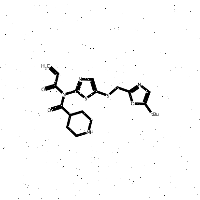 C=CC(=O)N(C(=O)C1CCNCC1)c1ncc(SCc2ncc(C(C)(C)C)o2)s1